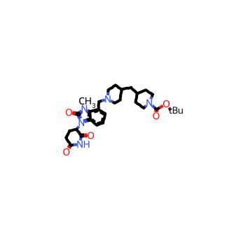 Cn1c(=O)n(C2CCC(=O)NC2=O)c2cccc(CN3CCC(CC4CCN(C(=O)OC(C)(C)C)CC4)CC3)c21